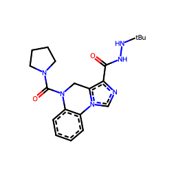 CC(C)(C)NNC(=O)c1ncn2c1CN(C(=O)N1CCCC1)c1ccccc1-2